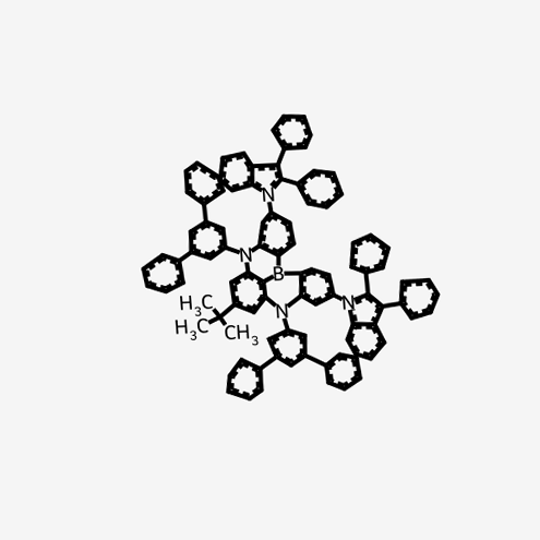 CC(C)(C)c1cc2c3c(c1)N(c1cc(-c4ccccc4)cc(-c4ccccc4)c1)c1cc(-n4c(-c5ccccc5)c(-c5ccccc5)c5ccccc54)ccc1B3c1ccc(-n3c(-c4ccccc4)c(-c4ccccc4)c4ccccc43)cc1N2c1cc(-c2ccccc2)cc(-c2ccccc2)c1